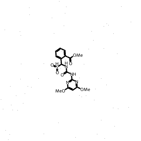 COC(=O)c1ccccc1C(NC(=O)Nc1nc(OC)cc(OC)n1)[SH](=O)=O